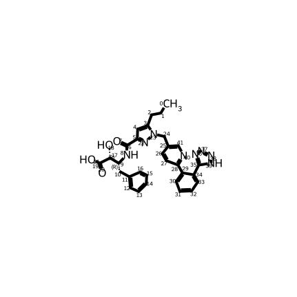 CCCc1cc(C(=O)N[C@H](Cc2ccccc2)[C@@H](O)C(=O)O)nn1Cc1ccc(-c2ccccc2-c2nnn[nH]2)nc1